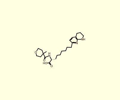 CC1(C(=O)N[C@H](CCCCCCCc2ccc3c(n2)NCCC3)C(=O)O)CCOCC1